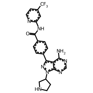 Nc1ncnc2c1c(-c1ccc(C(=O)Nc3cc(C(F)(F)F)ccn3)cc1)nn2C1CCNC1